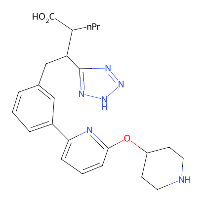 CCCC(C(=O)O)C(Cc1cccc(-c2cccc(OC3CCNCC3)n2)c1)c1nn[nH]n1